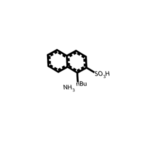 CCCCc1c(S(=O)(=O)O)ccc2ccccc12.N